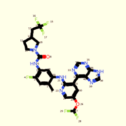 Cc1cc(F)c(NC(=O)N2CCC(CC(F)(F)F)C2)cc1Nc1ncc(OC(F)F)cc1-c1ncnc2[nH]cnc12